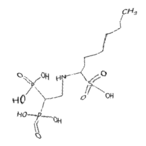 CCCCCC(NCC(P(=O)(O)O)P(=O)(O)O)S(=O)(=O)O